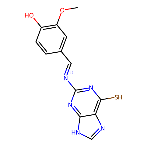 COc1cc(/C=N/c2nc(S)c3nc[nH]c3n2)ccc1O